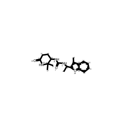 Cc1c(C(C)NC(=O)NC2CCC(=O)NC2(C)C)oc2ccccc12